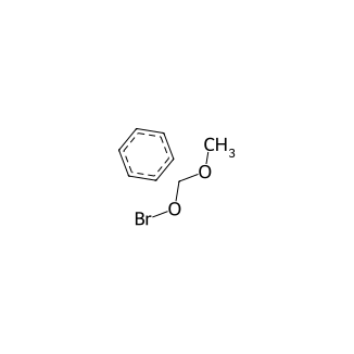 COCOBr.c1ccccc1